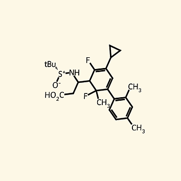 Cc1ccc(C2=CC(C3CC3)=C(F)C(C(CC(=O)O)N[S@+]([O-])C(C)(C)C)C2(C)F)c(C)c1